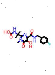 Cn1c(C(C)(C)NC(=O)O)nc(C(=O)NCc2ccc(F)cc2)c(O)c1=O